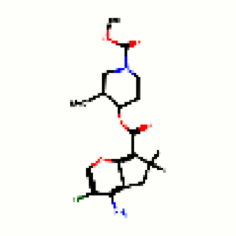 COC1CN(C(=O)OC(C)(C)C)CCC1OC(=O)C1=C2OC=C(Cl)C(N)=C2CC1(C)C